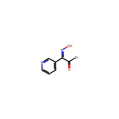 CCC(=O)C(=NO)c1cccnc1